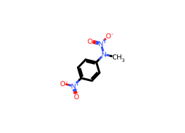 CN(c1ccc([N+](=O)[O-])cc1)[N+](=O)[O-]